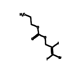 CCCOC(=O)OCC(I)=C(Br)I